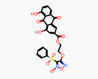 O=C(OCCOc1no[n+]([O-])c1S(=O)(=O)c1ccccc1)c1cc(O)c2c(c1)C(=O)c1cccc(O)c1C2=O